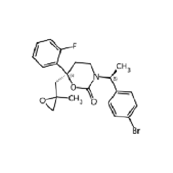 C[C@@H](c1ccc(Br)cc1)N1CC[C@](CC2(C)CO2)(c2ccccc2F)OC1=O